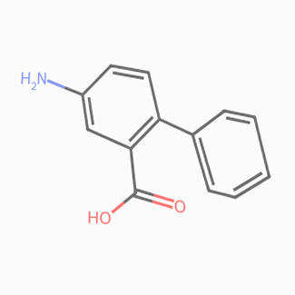 Nc1ccc(-c2ccccc2)c(C(=O)O)c1